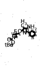 Cc1c(OCC2(F)CN(C(=O)OC(C)(C)C)C2)nn(-c2ccccc2)c1N